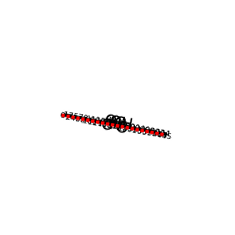 CCCCCCCCCCCCCCCCCCOC(=O)CN(O)CC(=O)OCCCCCCCCCCCCCCCCCC